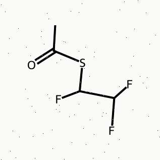 CC(=O)SC(F)C(F)F